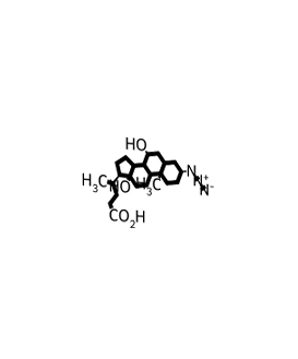 CC(CCC(=O)O)[C@H]1CCC2C3C(CCC21O)[C@@]1(C)CC[C@@H](N=[N+]=[N-])CC1C[C@H]3O